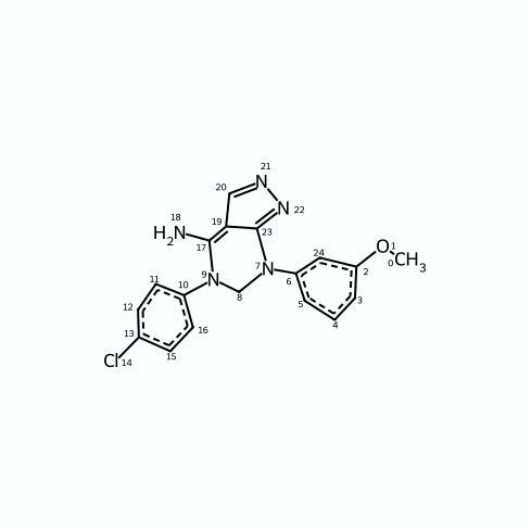 COc1cccc(N2CN(c3ccc(Cl)cc3)C(N)=C3C=NN=C32)c1